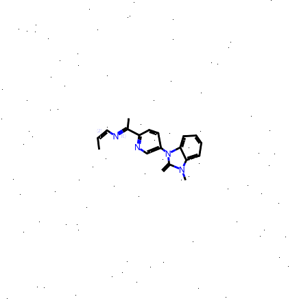 C=C1N(C)c2ccccc2N1c1ccc(/C(C)=N/C=C\C)nc1